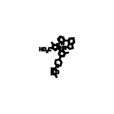 Cc1nnc(N2CCC(c3ccc(NC4CCc5cccc(-c6cccc(-n7ncc(C(=O)O)c7C)n6)c54)c(C)c3)CC2)o1